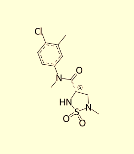 Cc1cc(N(C)C(=O)[C@@H]2CN(C)S(=O)(=O)N2)ccc1Cl